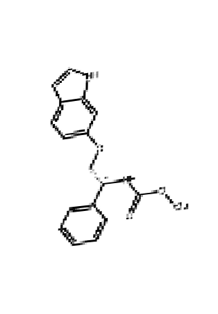 CC(C)(C)OC(=O)N[C@@H](COc1ccc2cc[nH]c2c1)c1ccccc1